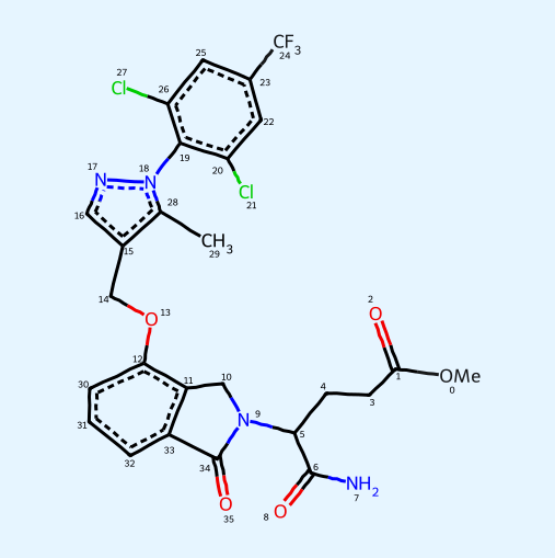 COC(=O)CCC(C(N)=O)N1Cc2c(OCc3cnn(-c4c(Cl)cc(C(F)(F)F)cc4Cl)c3C)cccc2C1=O